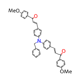 COc1ccc(C(=O)C=Cc2ccc(N(Cc3ccccc3)c3ccc(C=CC(=O)c4ccc(OC)cc4)cc3)cc2)cc1